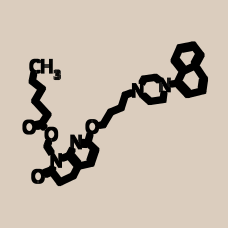 CCCCCC(=O)OCN1C(=O)CCc2ccc(OCCCCN3CCN(c4cccc5ccccc45)CC3)nc21